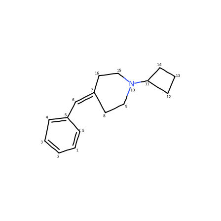 [c]1ccccc1C=C1CCN(C2CCC2)CC1